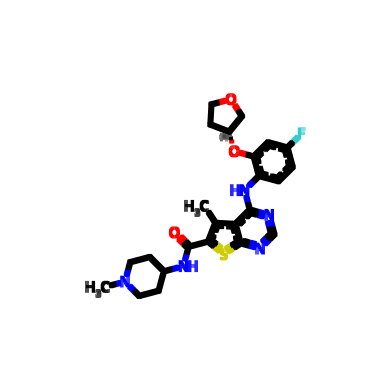 Cc1c(C(=O)NC2CCN(C)CC2)sc2ncnc(Nc3ccc(F)cc3O[C@@H]3CCOC3)c12